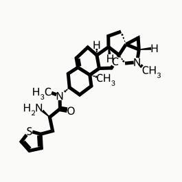 CN1C[C@]23CCC4[C@@H](CC=C5C[C@@H](N(C)C(=O)[C@H](N)Cc6cccs6)CC[C@@]54C)[C@@H]2CC[C@@]32C[C@H]12